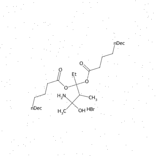 Br.CCCCCCCCCCCCCC(=O)OC(CC)(OC(=O)CCCCCCCCCCCCC)C(C)C(C)(N)O